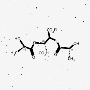 C[C@@H](O)C(=O)OC(C(=O)O)[C@@H](OC(=O)[C@@H](C)O)C(=O)O